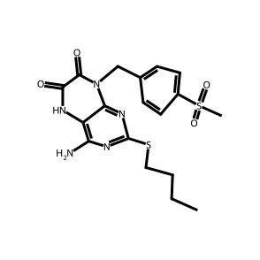 CCCCSc1nc(N)c2[nH]c(=O)c(=O)n(Cc3ccc(S(C)(=O)=O)cc3)c2n1